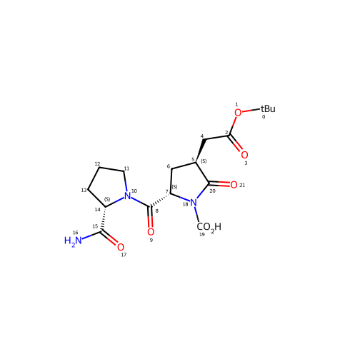 CC(C)(C)OC(=O)C[C@@H]1C[C@@H](C(=O)N2CCC[C@H]2C(N)=O)N(C(=O)O)C1=O